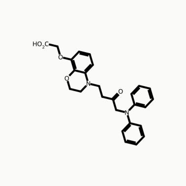 O=C(O)COc1cccc2c1OCCN2CCC(=O)CN(c1ccccc1)c1ccccc1